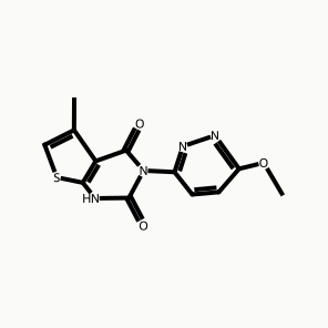 COc1ccc(-n2c(=O)[nH]c3scc(C)c3c2=O)nn1